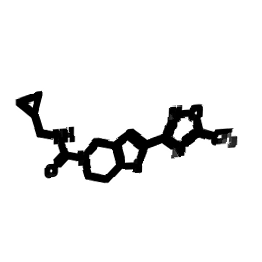 O=C(NCC1CC1)N1CCc2sc(-c3noc(C(F)(F)F)n3)cc2C1